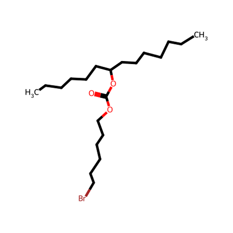 CCCCCCCC(CCCCCC)OC(=O)OCCCCCCBr